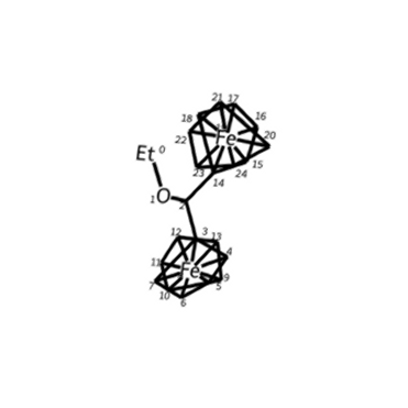 CCOC([C]12[CH]3[CH]4[CH]5[CH]1[Fe]45321678[CH]2[CH]1[CH]6[CH]7[CH]28)[C]12[CH]3[CH]4[CH]5[CH]1[Fe]45321678[CH]2[CH]1[CH]6[CH]7[CH]28